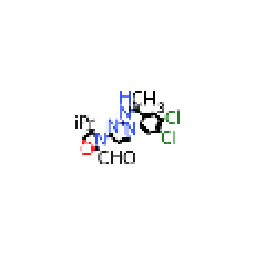 CC(C)[C@H]1COC(C=O)N1c1ccnc(N[C@@H](C)c2ccc(Cl)c(Cl)c2)n1